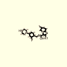 CCc1nc2ccc(I)cn2c1C(O)NCc1ccc(N2CCNC=N2)cc1F